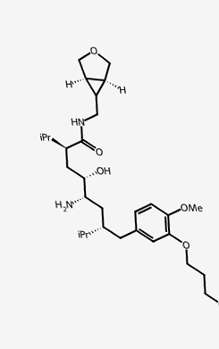 COCCCOc1cc(C[C@@H](C[C@H](N)[C@@H](O)C[C@H](C(=O)NCC2[C@H]3COC[C@@H]23)C(C)C)C(C)C)ccc1OC